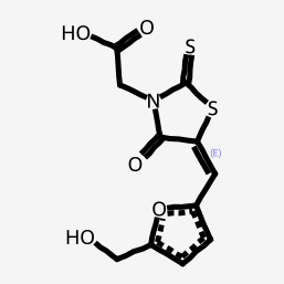 O=C(O)CN1C(=O)/C(=C\c2ccc(CO)o2)SC1=S